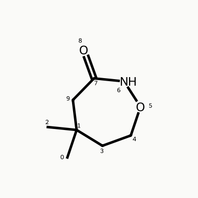 CC1(C)CCONC(=O)C1